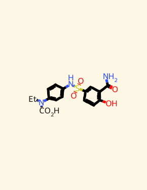 CCN(C(=O)O)c1ccc(NS(=O)(=O)c2ccc(O)c(C(N)=O)c2)cc1